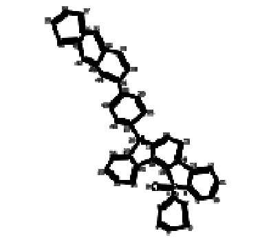 O=P1(c2ccccc2)c2ccccc2-c2ccc3c(c21)c1ccccc1n3-c1ccc(-c2ccc3cc4ccccc4cc3c2)cc1